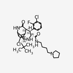 CC(C)(C)C[C@H]1N[C@@H](C(=O)NCCCCN2CCCC2)[C@H](c2cccc(Cl)c2F)[C@@H]2C(=O)NC3=CC(Cl)=C(F)C2C31